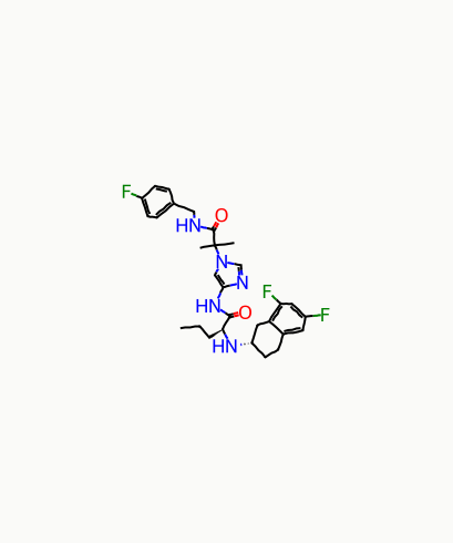 CCC[C@H](N[C@H]1CCc2cc(F)cc(F)c2C1)C(=O)Nc1cn(C(C)(C)C(=O)NCc2ccc(F)cc2)cn1